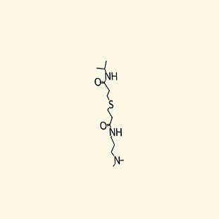 CC(C)NC(=O)CCSCCC(=O)NCCCN(C)C